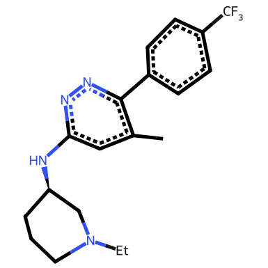 CCN1CCC[C@@H](Nc2cc(C)c(-c3ccc(C(F)(F)F)cc3)nn2)C1